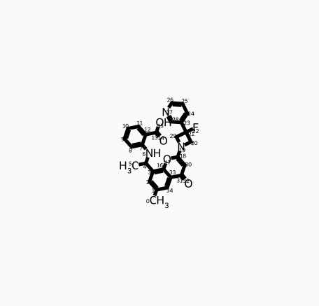 Cc1cc(C(C)Nc2ccccc2C(=O)O)c2oc(N3CC(F)(c4cccnc4)C3)cc(=O)c2c1